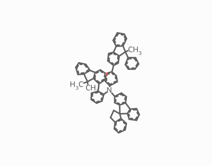 CC1(C)c2ccccc2-c2cccc(-c3ccccc3N(c3ccc(-c4ccc5c(c4)C(C)(c4ccccc4)c4ccccc4-5)cc3)c3ccc4c(c3)C3(CCc5ccccc53)c3ccccc3-4)c21